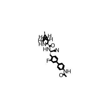 CC(=O)Nc1ccc(-c2ccc(C[C@@H](C#N)NC(=O)[C@H]3N[C@H]4C[C@@H]3[C@@H]3[C@H](C)[C@@H]34)c(F)c2)cc1